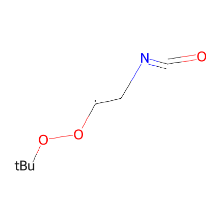 CC(C)(C)OO[CH]CN=C=O